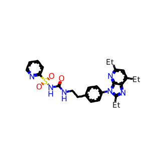 CCc1cc(CC)c2nc(CC)n(-c3ccc(CCNC(=O)NS(=O)(=O)c4ccccn4)cc3)c2n1